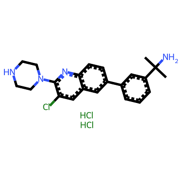 CC(C)(N)c1cccc(-c2ccc3nc(N4CCNCC4)c(Cl)cc3c2)c1.Cl.Cl